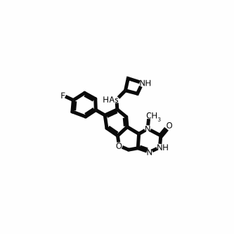 CN1C(=O)NN=C2COc3cc(-c4ccc(F)cc4)c([AsH]C4CNC4)cc3C21